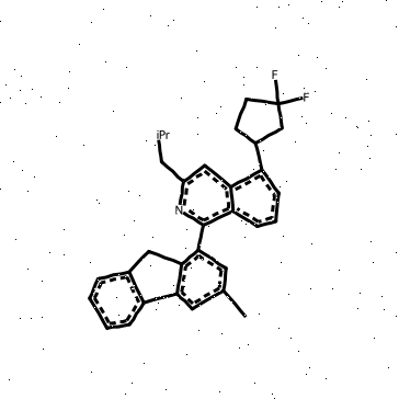 Cc1cc2c(c(-c3nc(CC(C)C)cc4c(C5CCC(F)(F)C5)cccc34)c1)Cc1ccccc1-2